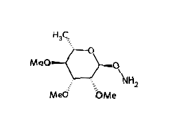 CO[C@@H]1[C@@H](OC)[C@H](C)O[C@@H](ON)[C@@H]1OC